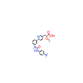 CCO[C@@H](Cc1ccc(-c2cccc(N(C)C(=O)Nc3ccc(N(C)C)cc3)c2)nc1)C(=O)O